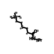 CC(C)NC(=O)CCSCC[N+](C)(C)C